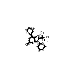 CC(C)(O)c1nc2c(C3CNCCO3)nc(Cl)nc2n1C1CCCCO1